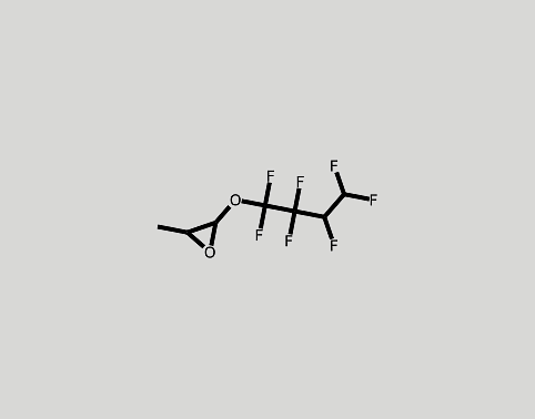 CC1OC1OC(F)(F)C(F)(F)C(F)C(F)F